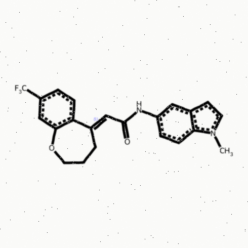 Cn1ccc2cc(NC(=O)/C=C3\CCCOc4cc(C(F)(F)F)ccc43)ccc21